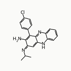 CC(C)N=c1cc2[nH]c3ccccc3nc-2c(-c2ccc(Cl)cc2)c1N